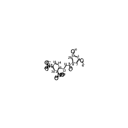 COc1cc(OC)cc(C(=O)C=Cc2ccc([N+](=O)[O-])cc2[N+](=O)[O-])c1